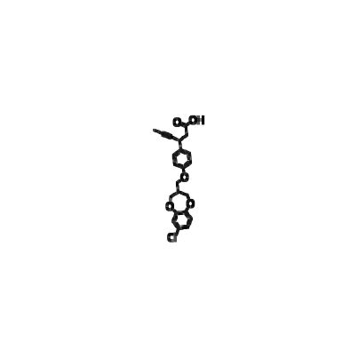 CC#C[C@@H](CC(=O)O)c1ccc(OCC2COc3ccc(Cl)cc3OC2)cc1